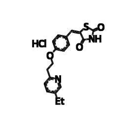 CCc1ccc(CCOc2ccc(C=C3SC(=O)NC3=O)cc2)nc1.Cl